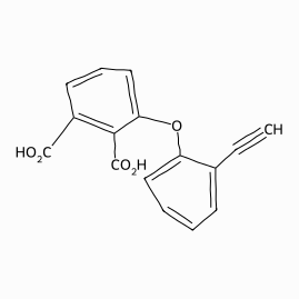 C#Cc1ccccc1Oc1cccc(C(=O)O)c1C(=O)O